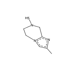 Cc1cn2c(n1)CN(S)CC2